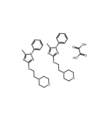 Cc1nc(SCCN2CCOCC2)nn1-c1ccccc1.Cc1nc(SCCN2CCOCC2)nn1-c1ccccc1.O=C(O)C(=O)O